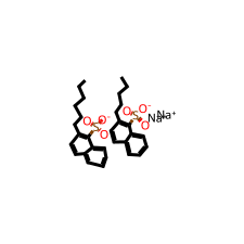 CCCCCCc1ccc2ccccc2c1S(=O)(=O)[O-].CCCCCc1ccc2ccccc2c1S(=O)(=O)[O-].[Na+].[Na+]